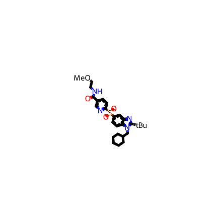 COCCNC(=O)c1ccc(S(=O)(=O)c2ccc3c(c2)nc(C(C)(C)C)n3CC2CCCCC2)nc1